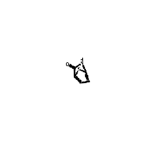 O=c1[nH]c2ccc1s2